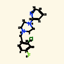 Fc1ccc(CN2CCN(c3ccccn3)CC2)c(Cl)c1